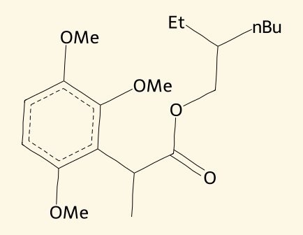 CCCCC(CC)COC(=O)C(C)c1c(OC)ccc(OC)c1OC